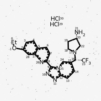 CCOc1ccc2ccc(-c3nnc4ccc([C@H](N5CC[C@H](N)C5)C(F)(F)F)cn34)nc2c1.Cl.Cl